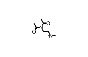 C[N]CCN(C(C)=O)C(C)=O